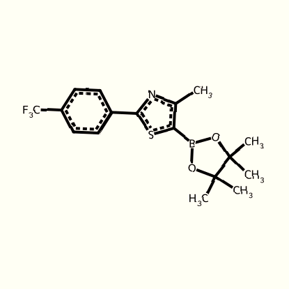 Cc1nc(-c2ccc(C(F)(F)F)cc2)sc1B1OC(C)(C)C(C)(C)O1